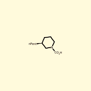 CCCCC[C@H]1CCCN(C(=O)O)C1